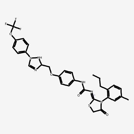 CCCc1ccc(C)cc1N1C(=O)CS/C1=N\C(=O)Nc1ccc(OCC2N=CN(c3ccc(OC(F)(F)F)cc3)N2)cc1